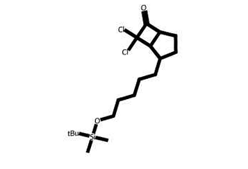 CC(C)(C)[Si](C)(C)OCCCCCC1CCC2C(=O)C(Cl)(Cl)C12